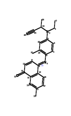 CCN(c1ccc(/N=C2\C=CC(=O)c3nc(C)ccc32)c(C)c1)C(C)C#N